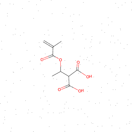 C=C(C)C(=O)OC(C)C(C(=O)O)C(=O)O